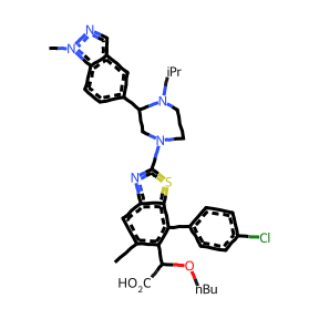 CCCCOC(C(=O)O)c1c(C)cc2nc(N3CCN(C(C)C)C(c4ccc5c(cnn5C)c4)C3)sc2c1-c1ccc(Cl)cc1